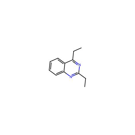 CCc1nc(CC)c2ccccc2n1